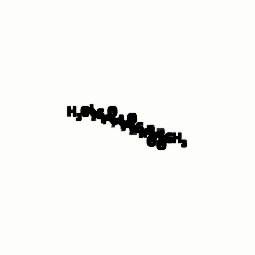 CCCSCC(=O)CCCC(=O)CSCCC(=O)CC(C)=O